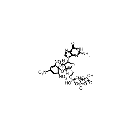 Nc1nc2c(ncn2C2O[C@H](COP(=O)(O)OP(=O)(O)OP(=O)(O)O)[C@H]3OC4(O[C@@H]23)C([N+](=O)[O-])=CC([N+](=O)[O-])=CC4[N+](=O)[O-])c(=O)[nH]1